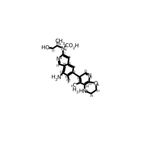 Cc1c(-c2cc3cc(N(C(=O)O)[C@@H](C)CO)ncc3c(N)c2F)cnc2c1NCCO2